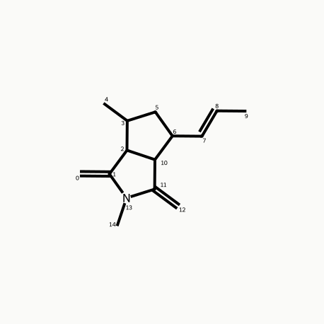 C=C1C2C(C)CC(/C=C/C)C2C(=C)N1C